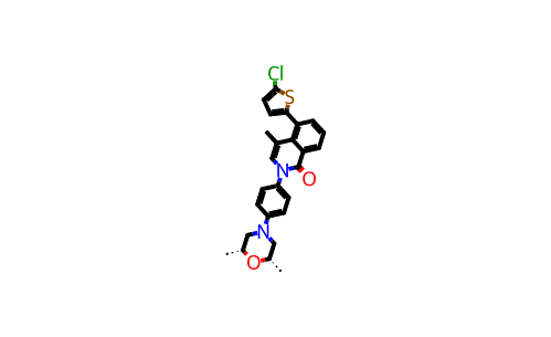 Cc1cn(-c2ccc(N3C[C@@H](C)O[C@@H](C)C3)cc2)c(=O)c2cccc(-c3ccc(Cl)s3)c12